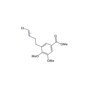 CC/C=C/CCc1cc(C(=O)OC)cc(OC)c1OC